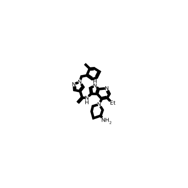 C=C(Nc1c[nH]c2ncc(CC)c(N3CCCC(N)C3)c12)c1cnn(Cc2ccccc2C)c1